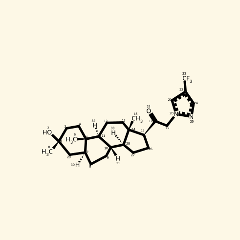 C[C@@]1(O)CC[C@@]2(C)[C@@H](CC[C@@H]3[C@@H]2CC[C@]2(C)[C@@H](C(=O)Cn4cc(C(F)(F)F)cn4)CC[C@@H]32)C1